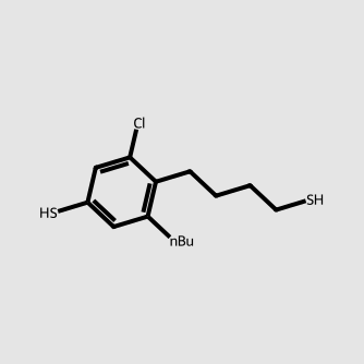 CCCCc1cc(S)cc(Cl)c1CCCCS